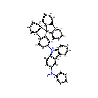 CN(c1ccccc1)c1ccc2c(c1)c1ccccc1n2-c1ccc2c(c1)C1(c3ccccc3-c3ccccc31)c1ccccc1-2